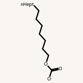 CCCCCCCCCCCCCCOC([O])=O